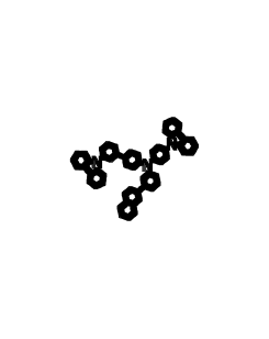 c1cc(-c2ccc3ccccc3c2)cc(N(c2ccc(-c3cccc(-n4c5ccccc5c5ccccc54)c3)cc2)c2ccc(-n3c4ccccc4c4ccccc43)cc2)c1